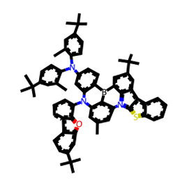 Cc1cc2c3c(c1)-n1c4sc5ccccc5c4c4cc(C(C)(C)C)cc(c41)B3c1ccc(N(c3ccc(C(C)(C)C)cc3C)c3ccc(C(C)(C)C)cc3C)cc1N2c1cccc2c1oc1cc(C(C)(C)C)ccc12